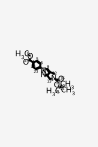 COC(=O)c1ccc(-n2cc3c(n2)CN(C(=O)OC(C)(C)C)C3)cc1